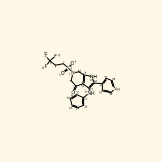 O=C1CN(S(=O)(=O)CCC(F)(F)F)Cc2[nH]c(-c3ccncc3)c(Nc3ccccc3)c21